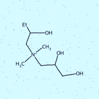 CCC(O)C[N+](C)(C)CC(O)CO